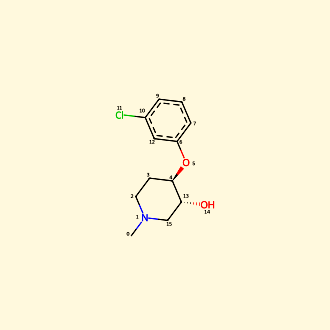 CN1CC[C@@H](Oc2cccc(Cl)c2)[C@H](O)C1